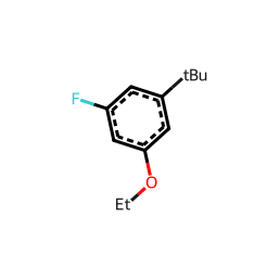 CCOc1cc(F)cc(C(C)(C)C)c1